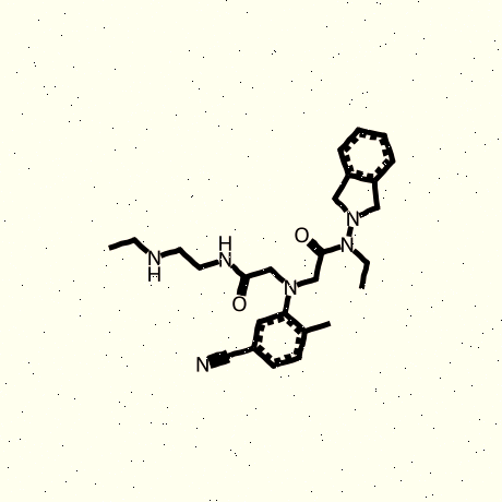 CCNCCNC(=O)CN(CC(=O)N(CC)N1Cc2ccccc2C1)c1cc(C#N)ccc1C